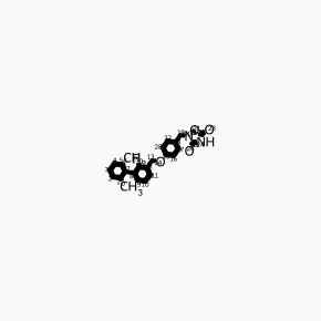 Cc1cccc(C)c1-c1cccc(COc2ccc(Cn3oc(=O)[nH]c3=O)cc2)c1F